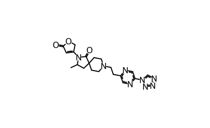 CC1CC2(CCN(CCc3cnc(-n4cnnn4)cn3)CC2)C(=O)N1C1=CC(=O)OC1